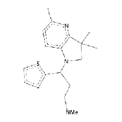 CNCCC(c1cccs1)N1CC(C)(C)c2nc(C)ccc21